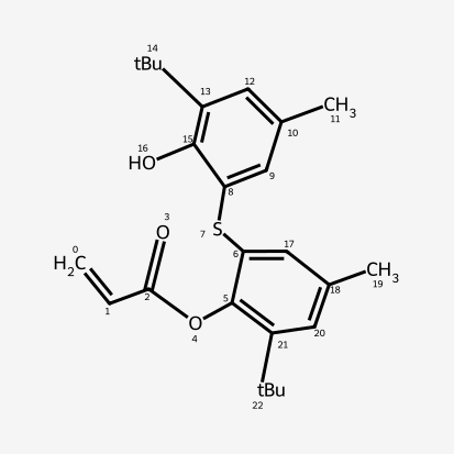 C=CC(=O)Oc1c(Sc2cc(C)cc(C(C)(C)C)c2O)cc(C)cc1C(C)(C)C